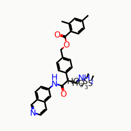 CS(=O)(=O)O.CS(=O)(=O)O.Cc1ccc(C(=O)OCc2ccc(C(CN)C(=O)Nc3ccc4cnccc4c3)cc2)c(C)c1